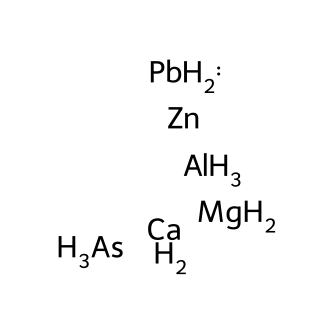 [AlH3].[AsH3].[CaH2].[MgH2].[PbH2].[Zn]